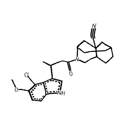 COc1ccc2[nH]cc(C(C)CC(=O)N3CC4CCC5CC3CC4(C#N)C5)c2c1Cl